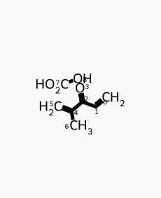 C=CC(=O)C(=C)C.O=C(O)O